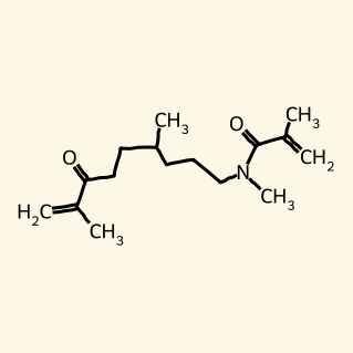 C=C(C)C(=O)CCC(C)CCCN(C)C(=O)C(=C)C